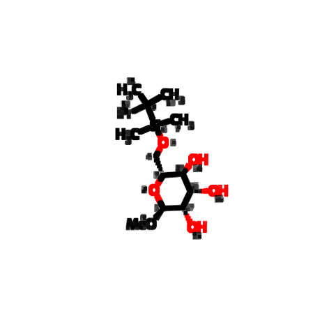 CO[C@H]1O[C@H](CO[Si](C)(C)C(C)(C)C(C)C)[C@@H](O)[C@H](O)[C@@H]1O